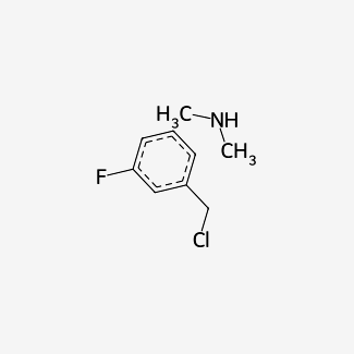 CNC.Fc1cccc(CCl)c1